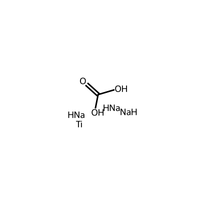 O=C(O)O.[NaH].[NaH].[NaH].[Ti]